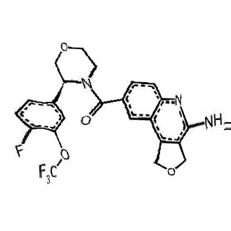 Nc1nc2ccc(C(=O)N3CCOC[C@@H]3c3ccc(F)c(OC(F)(F)F)c3)cc2c2c1COC2